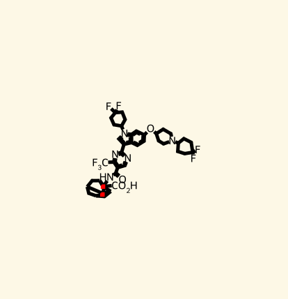 O=C(NC1(C(=O)O)C2CCC3CC(C2)CC1C3)c1cnc(-c2cn(C3CCC(F)(F)CC3)c3cc(OC4CCN(C5CCC(F)(F)CC5)CC4)ccc23)nc1C(F)(F)F